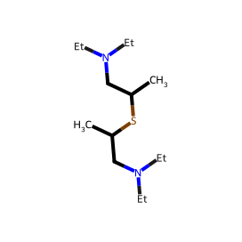 CCN(CC)CC(C)SC(C)CN(CC)CC